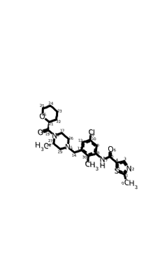 Cc1ncc(C(=O)Nc2cc(Cl)cc(CN3CCN(C(=O)[C@@H]4CCCCO4)[C@@H](C)C3)c2C)s1